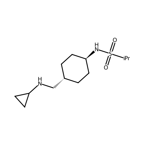 CC(C)S(=O)(=O)N[C@H]1CC[C@H](CNC2CC2)CC1